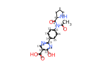 CC(=O)N(C(=O)C1CCCN1)c1ccc(-c2ncc(C(=O)O)c(O)n2)cc1